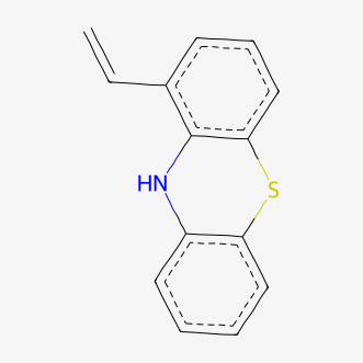 C=Cc1cccc2c1Nc1ccccc1S2